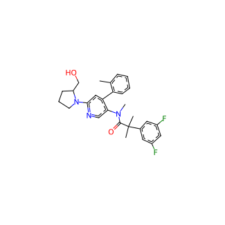 Cc1ccccc1-c1cc(N2CCCC2CO)ncc1N(C)C(=O)C(C)(C)c1cc(F)cc(F)c1